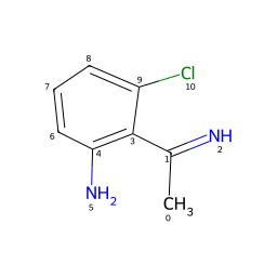 CC(=N)c1c(N)cccc1Cl